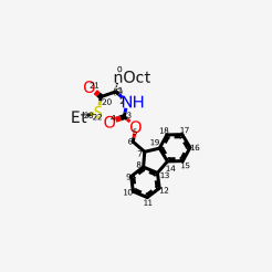 CCCCCCCC[C@H](NC(=O)OCC1c2ccccc2-c2ccccc21)C(=O)SCC